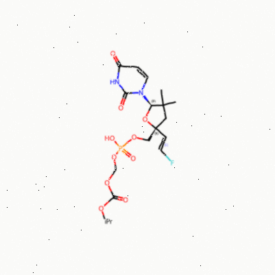 CC(C)OC(=O)OCOP(=O)(O)OC[C@]1(/C=C/F)CC(C)(C)[C@H](n2ccc(=O)[nH]c2=O)O1